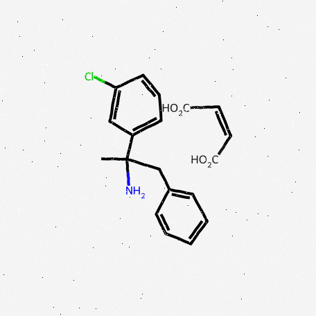 CC(N)(Cc1ccccc1)c1cccc(Cl)c1.O=C(O)/C=C\C(=O)O